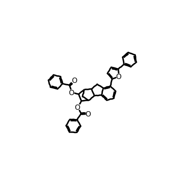 O=C(OC1C2CC(C1OC(=O)c1ccccc1)C1c3cccc(-c4ccc(-c5ccccc5)o4)c3CC21)c1ccccc1